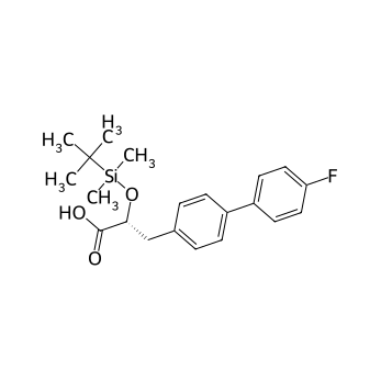 CC(C)(C)[Si](C)(C)O[C@H](Cc1ccc(-c2ccc(F)cc2)cc1)C(=O)O